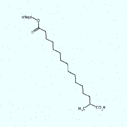 CCCCCCCOC(=O)CCCCCCCCCCCCCC(C)C(=O)O